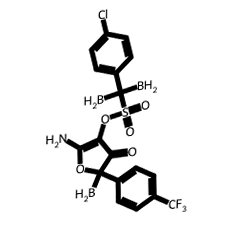 BC1(c2ccc(C(F)(F)F)cc2)OC(N)=C(OS(=O)(=O)C(B)(B)c2ccc(Cl)cc2)C1=O